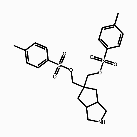 Cc1ccc(S(=O)(=O)OCC2(COS(=O)(=O)c3ccc(C)cc3)CC3CNCC3C2)cc1